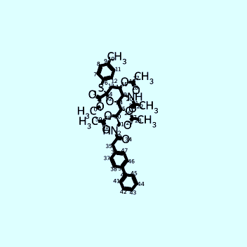 COC(=O)[C@@]1(Sc2ccc(C)cc2)C[C@H](OC(C)=O)[C@@H](NC(C)=O)[C@H]([C@H](OC(C)=O)[C@@H](CNC(=O)Cc2ccc(-c3ccccc3)cc2)OC(C)=O)O1